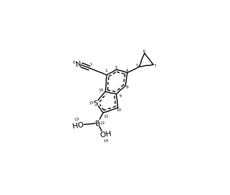 N#Cc1cc(C2CC2)cc2cc(B(O)O)sc12